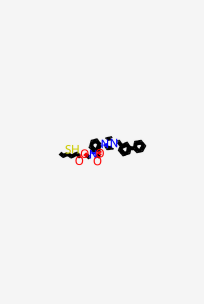 CCC(S)CCC(=O)OCn1c(=O)oc2c(N3CCN(Cc4cccc(-c5ccccc5)c4)CC3)cccc21